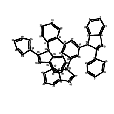 c1ccc(-c2nc3ccccc3n2-c2cc(-c3cnccc3-n3c(-c4ccccc4)nc4ccccc43)cc(-n3cnc4ccccc43)c2)cc1